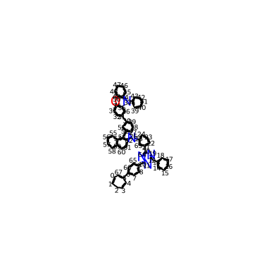 C1=CCC=CC(c2ccc(-c3nc(-c4ccccc4)nc(-c4cccc(-n5c6ccc(-c7ccc8c(c7)N(c7ccccc7)c7ccccc7O8)cc6c6c7ccccc7ccc65)c4)n3)cc2)=C1